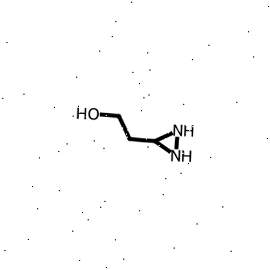 OCCC1NN1